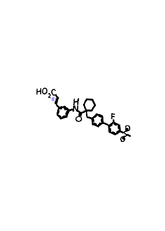 CS(=O)(=O)c1ccc(-c2ccc(CC3(C(=O)Nc4cccc(/C=C/C(=O)O)c4)CCCCC3)cc2)c(F)c1